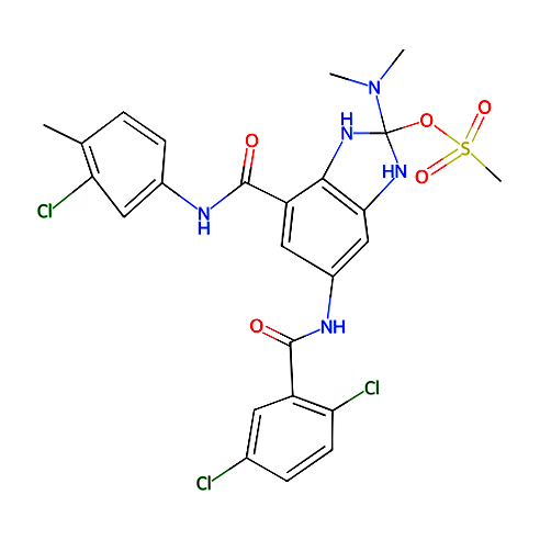 Cc1ccc(NC(=O)c2cc(NC(=O)c3cc(Cl)ccc3Cl)cc3c2NC(OS(C)(=O)=O)(N(C)C)N3)cc1Cl